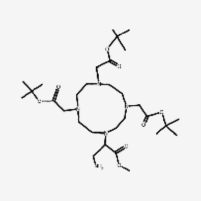 COC(=O)C(CN)N1CCN(CC(=O)OC(C)(C)C)CCN(CC(=O)OC(C)(C)C)CCN(CC(=O)OC(C)(C)C)CC1